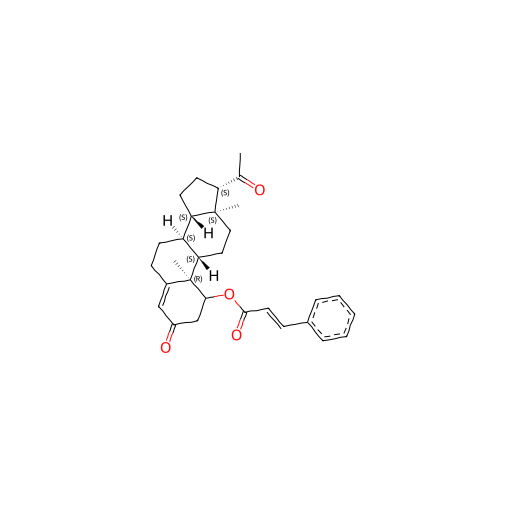 CC(=O)[C@H]1CC[C@H]2[C@@H]3CCC4=CC(=O)CC(OC(=O)C=Cc5ccccc5)[C@]4(C)[C@H]3CC[C@]12C